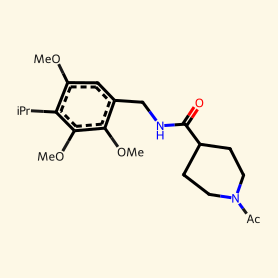 COc1cc(CNC(=O)C2CCN(C(C)=O)CC2)c(OC)c(OC)c1C(C)C